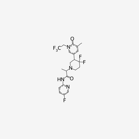 Cc1cc(C2CN(C(C)C(=O)Nc3ccc(F)cn3)CCC2(F)F)cn(CC(F)(F)F)c1=O